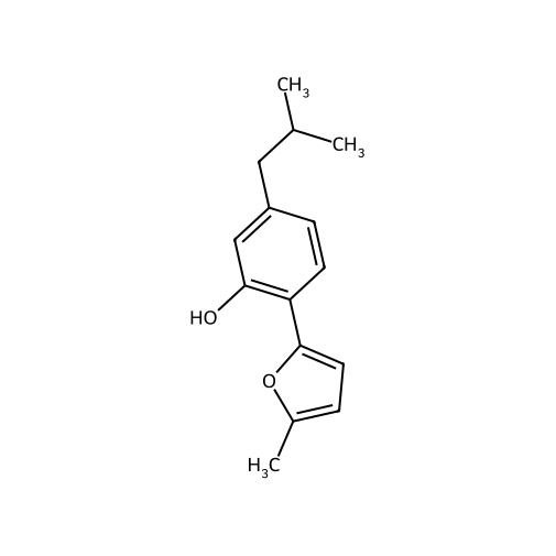 Cc1ccc(-c2ccc(CC(C)C)cc2O)o1